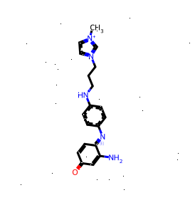 C[n+]1ccn(CCCNc2ccc(/N=C3\C=CC(=O)C=C3N)cc2)c1